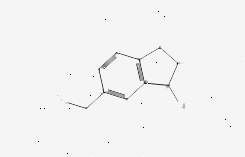 NCc1ccc2c(c1)C(N)CC2